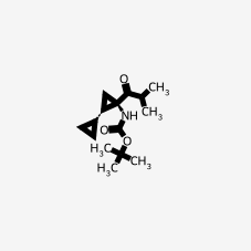 CC(C)C(=O)[C@@]1(NC(=O)OC(C)(C)C)C[C@H]1C1CC1